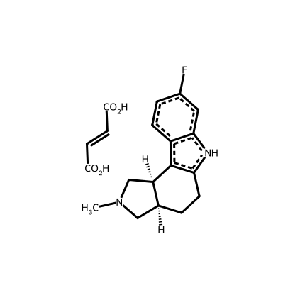 CN1C[C@@H]2CCc3[nH]c4cc(F)ccc4c3[C@@H]2C1.O=C(O)/C=C/C(=O)O